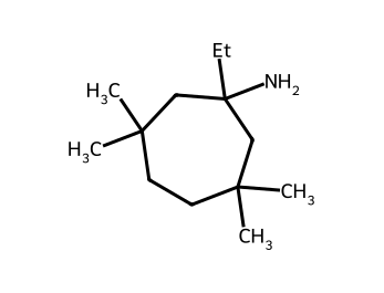 CCC1(N)CC(C)(C)CCC(C)(C)C1